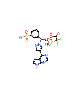 CCC(c1cccc(S(=O)(=O)C(C)C)c1)n1cc(-c2ncnc3[nH]ccc23)cn1.O=C(O)C(F)(F)F.O=NO